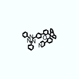 c1ccc(-c2nc(-c3ccccc3)nc(-c3ccc(-c4cccc5c4Oc4c(-c6ccncc6)cccc4C54c5ccccc5-c5ccccc54)cc3)n2)cc1